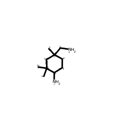 CC1(CN)CCC(N)C(C)(C)C1